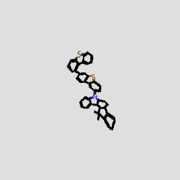 CC1(C)c2ccccc2-c2ccc3c(c21)c1ccccc1n3-c1ccc2sc3cc(-c4cccc5sc6ccccc6c45)ccc3c2c1